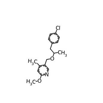 COc1cc(C)c(COC(C)Cc2ccc(Cl)cc2)cn1